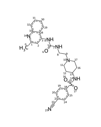 Cc1cc(NC(=O)NCCN2CCC(NS(=O)(=O)c3ccc(C#N)cc3)CC2)c2ccccc2n1